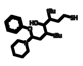 CC(C)(C)C(CCS)C(O)C(CC(Oc1ccccc1)N1CCCCC1)C(C)(C)C